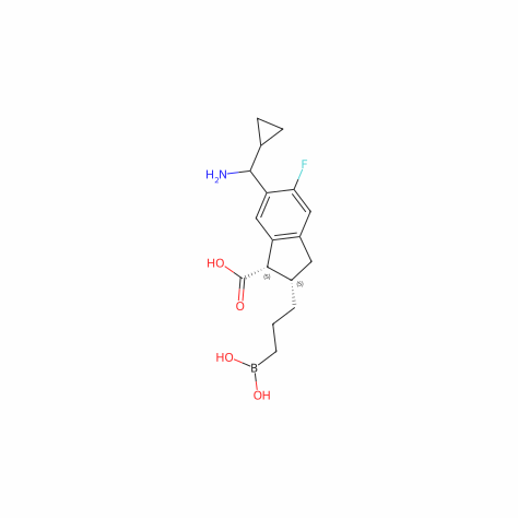 NC(c1cc2c(cc1F)C[C@H](CCCB(O)O)[C@@H]2C(=O)O)C1CC1